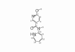 COc1ccc(C(=O)N(C)C2=CC=CC=CN2)cn1